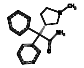 CN1CC[C@@H](C(C(N)=O)(c2ccccc2)c2ccccc2)C1